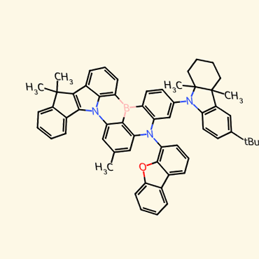 Cc1cc2c3c(c1)-n1c4c(c5cccc(c51)B3c1ccc(N3c5ccc(C(C)(C)C)cc5C5(C)CCCCC35C)cc1N2c1cccc2c1oc1ccccc12)C(C)(C)c1ccccc1-4